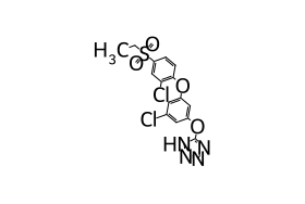 CCS(=O)(=O)c1ccc(Oc2cc(Cl)cc(Oc3nnn[nH]3)c2)c(Cl)c1